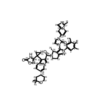 Cc1cc(-n2nc3c(c2-n2ccn(-c4ccn5c(C)ncc5c4)c2=O)[C@H](C)N(C(O)c2cn4cc([C@@H]5CCOC(C)(C)C5)ccc4c2C2(c4noc(=O)[nH]4)CC2)CC3)cc(C)c1F